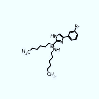 CCCCCCN[C@@H](CCCCCC)c1nc(-c2cccc(Br)c2)c[nH]1